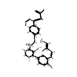 C=C(C)/C=C(\C=C/C)c1ccc(CNc2ncnc(-c3ccc(C)c(/C=C\C(C)=C\CC)c3)c2F)cc1